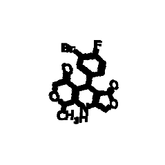 CC1OCC(=O)C2=C1NC1=C(C(=O)OC1)C2c1ccc(F)c(Br)c1